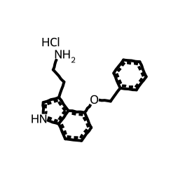 Cl.NCCc1c[nH]c2cccc(OCc3ccccc3)c12